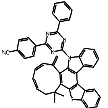 C=C1/C=C\C=C/CC(C)(C)c2c1c1c(c3ccccc3n1-c1nc(-c3ccccc3)nc(-c3ccc(C#N)cc3)n1)c1c2sc2ccccc21